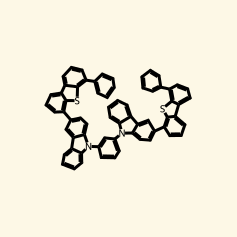 c1ccc(-c2cccc3c2sc2c(-c4ccc5c(c4)c4ccccc4n5-c4cccc(-n5c6ccccc6c6cc(-c7cccc8c7sc7c(-c9ccccc9)cccc78)ccc65)c4)cccc23)cc1